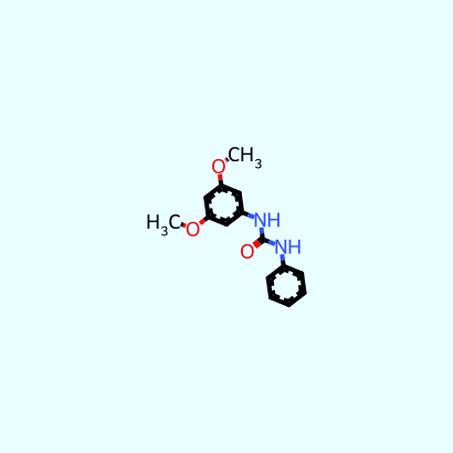 COc1cc(NC(=O)Nc2ccccc2)cc(OC)c1